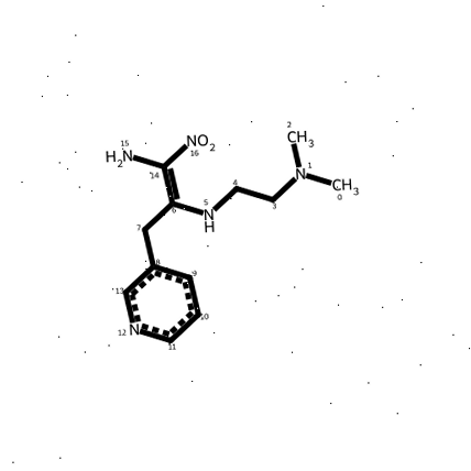 CN(C)CCNC(Cc1cccnc1)=C(N)[N+](=O)[O-]